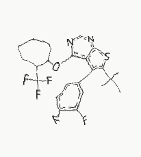 CC(C)(C)c1sc2ncnc(OC3CCCCC3C(F)(F)F)c2c1-c1ccc(F)c(F)c1